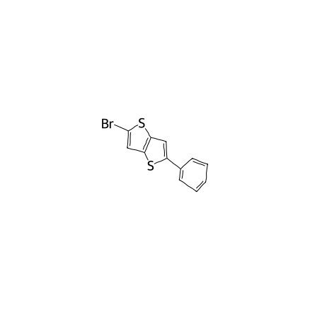 Brc1cc2sc(-c3ccccc3)cc2s1